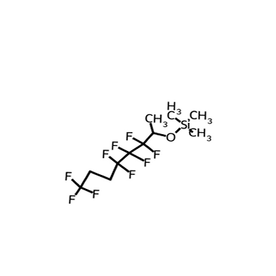 CC(O[Si](C)(C)C)C(F)(F)C(F)(F)C(F)(F)CCC(F)(F)F